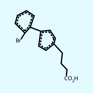 O=C(O)CCCc1ccc(-c2ccccc2Br)cc1